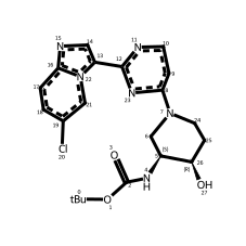 CC(C)(C)OC(=O)N[C@H]1CN(c2ccnc(-c3cnc4ccc(Cl)cn34)n2)CC[C@H]1O